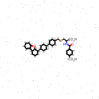 O=C(O)c1ccc(C(=O)NC(CSCc2ccc(-c3ccc(-c4cccc5c4oc4ccccc45)cc3)cc2)C(=O)O)cc1